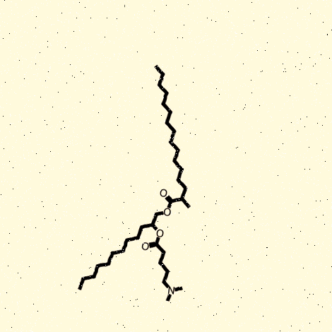 CCCCCCCCCCCCCCC(C)C(=O)OCC(CCCCCCCCCC)OC(=O)CCCCN(C)C